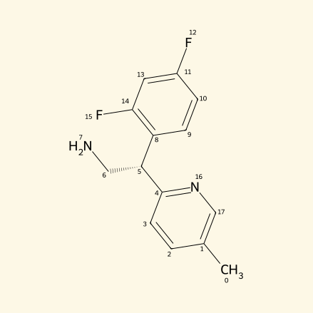 Cc1ccc([C@H](CN)c2ccc(F)cc2F)nc1